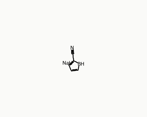 N#CC1=CC=CB1.[NaH]